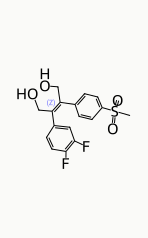 CS(=O)(=O)c1ccc(/C(CO)=C(/CO)c2ccc(F)c(F)c2)cc1